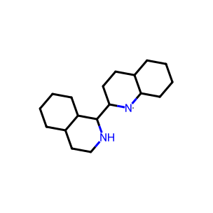 C1CCC2[N]C(C3NCCC4CCCCC43)CCC2C1